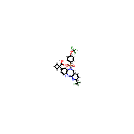 O=C(O)C1(c2ccc3c(c2)N(S(=O)(=O)c2ccc(OC(F)(F)F)cc2)Cc2ccc(C(F)(F)F)nc2N3)CCC1